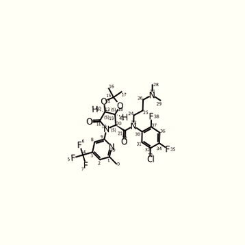 Cc1cc(C(F)(F)F)cc(N2C(=O)[C@H]3OC(C)(C)O[C@H]3[C@H]2C(=O)N(CCCN(C)C)c2cc(Cl)c(F)cc2F)n1